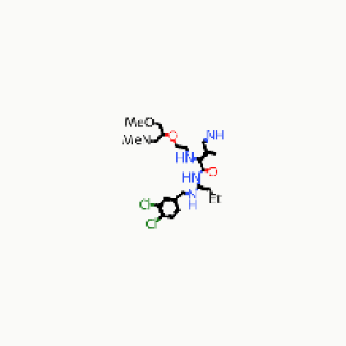 CC/C=C(\NCc1ccc(Cl)c(Cl)c1)NC(=O)/C(NCCOC(CNC)COC)=C(\C)C=N